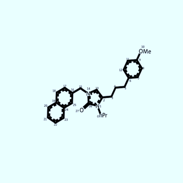 CCCn1c(CCCc2ccc(OC)cc2)cn(Cc2ccc3ccccc3c2)c1=O